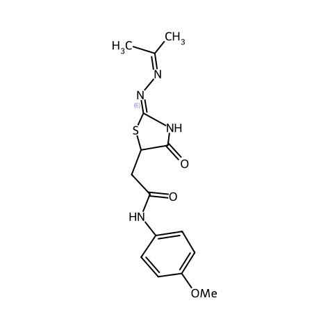 COc1ccc(NC(=O)CC2S/C(=N/N=C(C)C)NC2=O)cc1